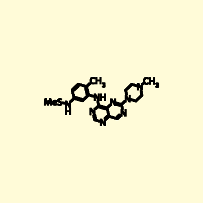 CSNc1ccc(C)c(Nc2ncnc3cnc(N4CCN(C)CC4)nc23)c1